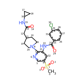 CS(=O)(=O)c1cnc(N2CCC(CC(=O)NC3CC3)CC2)c(NC(=O)c2cccc(Cl)c2)c1